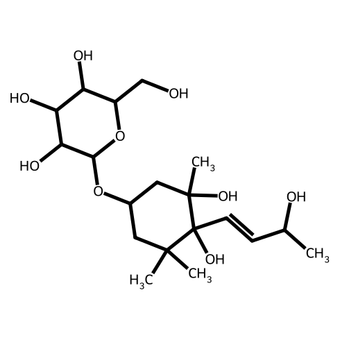 CC(O)/C=C/C1(O)C(C)(C)CC(OC2OC(CO)C(O)C(O)C2O)CC1(C)O